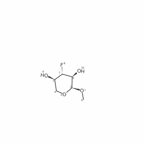 CO[C@H]1OC[C@@H](O)[C@H](F)[C@H]1O